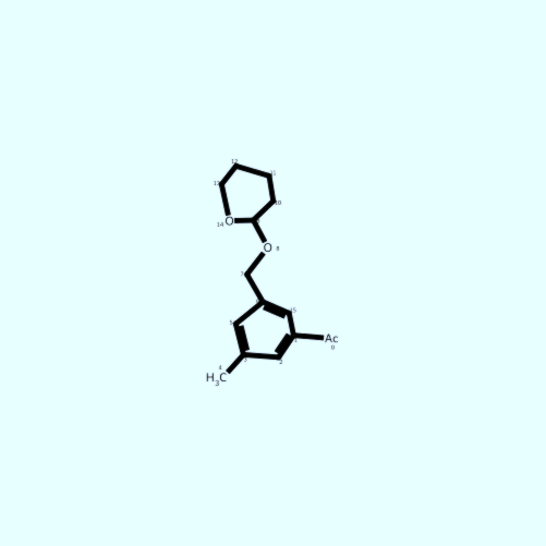 CC(=O)c1cc(C)cc(COC2CCCCO2)c1